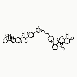 CN1CCC[C@@H]1c1cc2cnc(NC(=O)c3ccc(-c4cnn(CCCC5CCN(c6cccc7c6C(=O)N(C6CCC(=O)NC6=O)C7=O)CC5)c4)cn3)cc2[nH]1